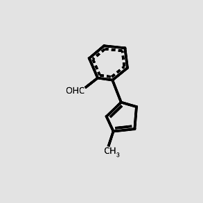 CC1=CCC(c2ccccc2C=O)=C1